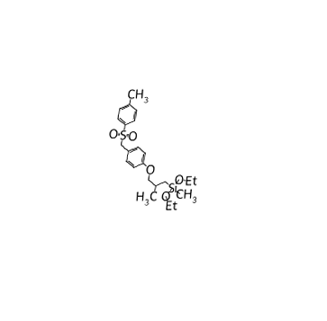 CCO[Si](C)(CC(C)COc1ccc(CS(=O)(=O)c2ccc(C)cc2)cc1)OCC